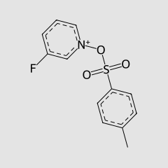 Cc1ccc(S(=O)(=O)O[n+]2cccc(F)c2)cc1